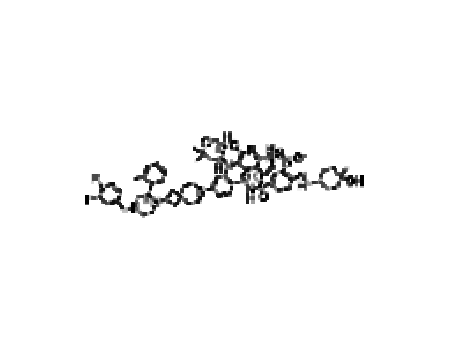 Cc1ccccc1[C@@H]1CN(Cc2ccc(F)c(F)c2)CCN1C1CC2(CCN(c3ccc(C(=O)NS(=O)(=O)c4ccc(NCC5CCC(C)(O)CC5)c([N+](=O)[O-])c4)c(N4c5cc6cc[nH]c6nc5O[C@H]5COC(C)(C)C[C@@H]54)c3)CC2)C1